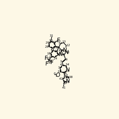 COc1cc(C=Cc2nc3n(n2)CCCC3(c2ccc(C(F)(F)F)cc2)c2cccc(C)c2F)cnc1-n1cnc(C)c1